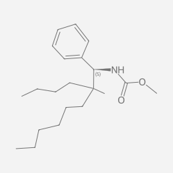 CCCCCCC(C)(CCCC)[C@H](NC(=O)OC)c1ccccc1